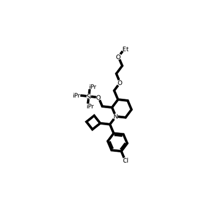 CCOCCOCC1CCCN(C(c2ccc(Cl)cc2)C2CCC2)C1CO[Si](C(C)C)(C(C)C)C(C)C